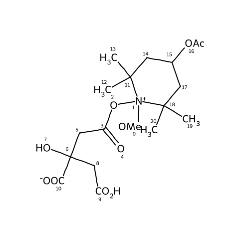 CO[N+]1(OC(=O)CC(O)(CC(=O)O)C(=O)[O-])C(C)(C)CC(OC(C)=O)CC1(C)C